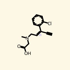 C#C/C(=C/CN(C)CC(=O)O)c1ccccc1Cl